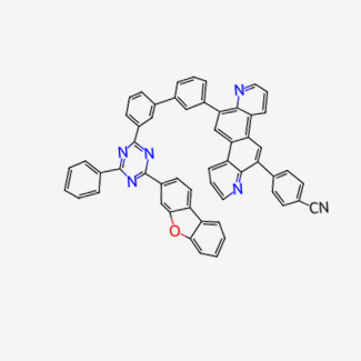 N#Cc1ccc(-c2cc3c4cccnc4c(-c4cccc(-c5cccc(-c6nc(-c7ccccc7)nc(-c7ccc8c(c7)oc7ccccc78)n6)c5)c4)cc3c3cccnc23)cc1